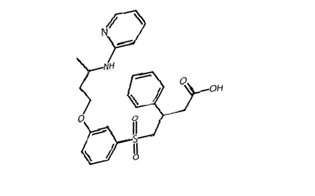 CC(CCOc1cccc(S(=O)(=O)CC(CC(=O)O)c2ccccc2)c1)Nc1ccccn1